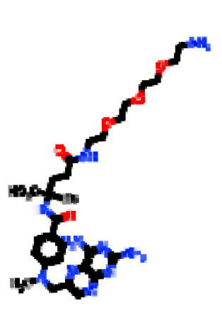 CN(Cc1cnc2nc(N)nc(N)c2n1)c1ccc(C(=O)N[C@@](CCC(=O)NCCOCCOCCOCCN)(C(=O)O)C(C)(C)C)cc1